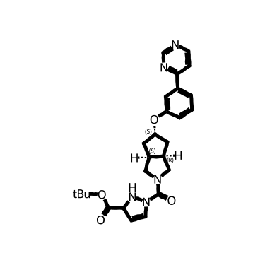 CC(C)(C)OC(=O)C1C=CN(C(=O)N2C[C@H]3C[C@H](Oc4cccc(-c5ccncn5)c4)C[C@H]3C2)N1